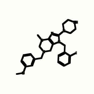 COc1cccc(CN2Cc3c(nc(N4CCNCC4)n3Cc3ccccc3I)N(C)C2)c1